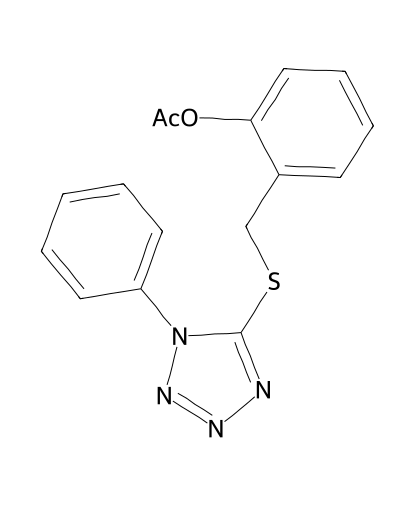 CC(=O)Oc1ccccc1CSc1nnnn1-c1ccccc1